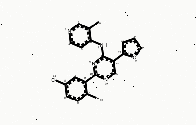 Cc1cnccc1Nc1nc(-c2cc(Cl)ccc2F)ncc1-c1ccco1